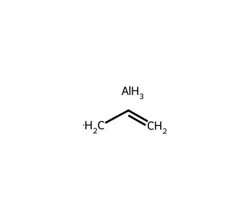 [AlH3].[CH2]C=C